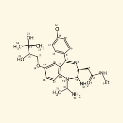 CCNC(=O)C[C@@H]1N=C(c2ccc(Cl)cc2)c2cc(OCC(O)C(C)(C)O)ccc2N(C(C)N)C1N